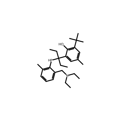 CCN(CC)Cc1cccc(C)c1PC(CC)(CC)c1cc(C)cc(C(C)(C)C)c1O